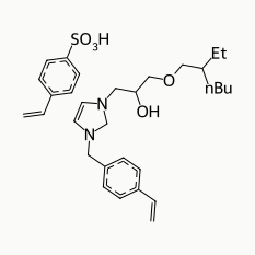 C=Cc1ccc(CN2C=CN(CC(O)COCC(CC)CCCC)C2)cc1.C=Cc1ccc(S(=O)(=O)O)cc1